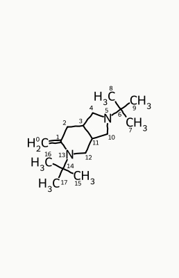 C=C1CC2CN(C(C)(C)C)CC2CN1C(C)(C)C